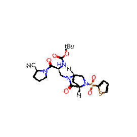 CC(C)(C)OC(=O)N[C@@H](CN1C(=O)[C@@H]2C[C@H]1CN2S(=O)(=O)c1cccs1)C(=O)N1CCC[C@H]1C#N